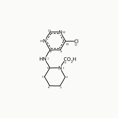 O=C(O)N1CCCCC1Nc1cc(Cl)ncn1